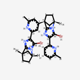 Cc1cc([C@@]23CC[C@@H](C2)n2c3nc(-c3cccc(C)n3)c2Br)cc(-c2nc3n(c2Br)[C@@H]2CC[C@H]3C2)n1